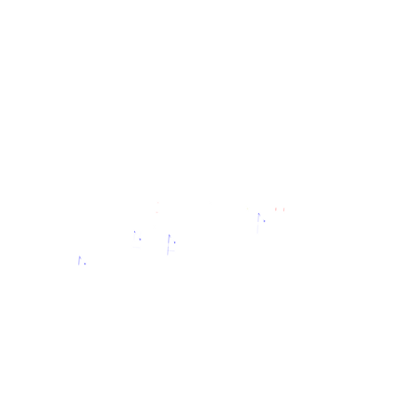 O=C(NCc1cccnc1)Nc1ccc(SNOCc2ccccc2-c2ccccc2)cc1